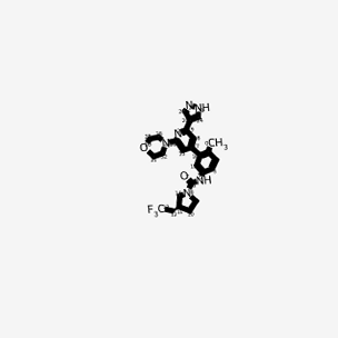 Cc1ccc(NC(=O)N2CC[C@@H](CC(F)(F)F)C2)cc1-c1cc(-c2cn[nH]c2)nc(N2CCOCC2)c1